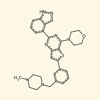 CN1CCN(Cc2cccc(-c3cc4nc(-c5cccc6[nH]ncc56)nc(N5CCOCC5)c4s3)c2)CC1